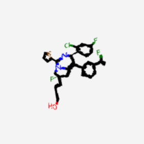 CC(F)c1cccc(C2=C3C[C@@](F)(/C=C/CO)CN3C(c3cccs3)=N[C@H]2c2ccc(F)cc2Cl)c1